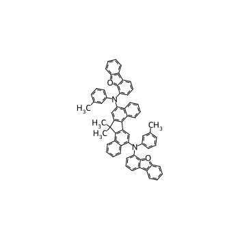 Cc1cccc(N(c2cc3c(c4ccccc24)-c2cc(N(c4cccc(C)c4)c4cccc5c4oc4ccccc45)c4ccccc4c2C3(C)C)c2cccc3c2oc2ccccc23)c1